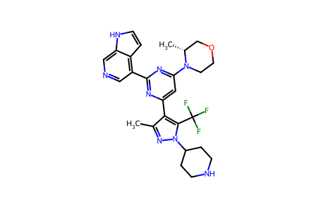 Cc1nn(C2CCNCC2)c(C(F)(F)F)c1-c1cc(N2CCOC[C@H]2C)nc(-c2cncc3[nH]ccc23)n1